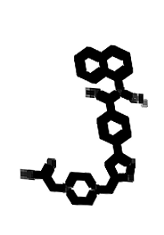 CN(C(=N)c1ccc(C2=NOC(CN3CCN(CC(=O)O)CC3)C2)cc1)c1cccc2ccccc12